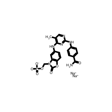 Cc1cnc(Nc2ccc(C(N)=O)cc2)nc1Nc1ccc2oc(=O)n(COP(=O)([O-])[O-])c2c1.[Na+].[Na+]